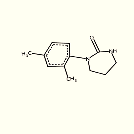 Cc1ccc(N2CCCNC2=O)c(C)c1